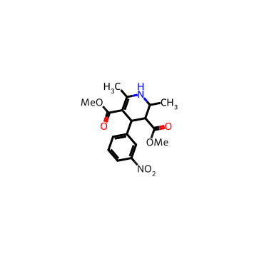 COC(=O)C1=C(C)NC(C)C(C(=O)OC)C1c1cccc([N+](=O)[O-])c1